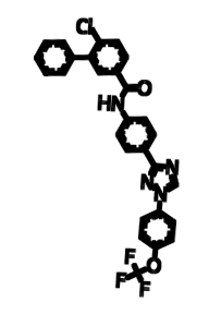 O=C(Nc1ccc(-c2ncn(-c3ccc(OC(F)(F)F)cc3)n2)cc1)c1ccc(Cl)c(-c2ccccc2)c1